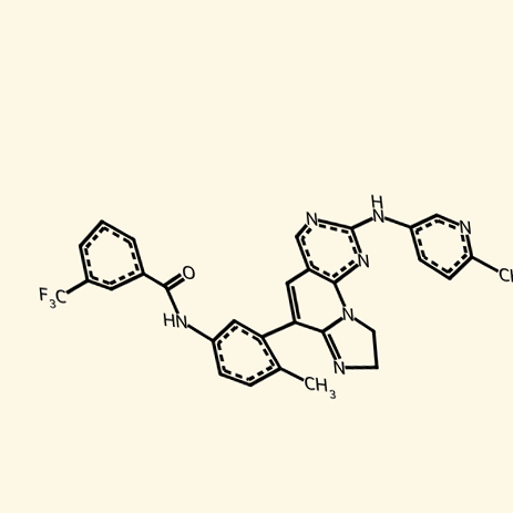 Cc1ccc(Nc2ncc3c(n2)N2CCN=C2C(c2cc(NC(=O)c4cccc(C(F)(F)F)c4)ccc2C)=C3)cn1